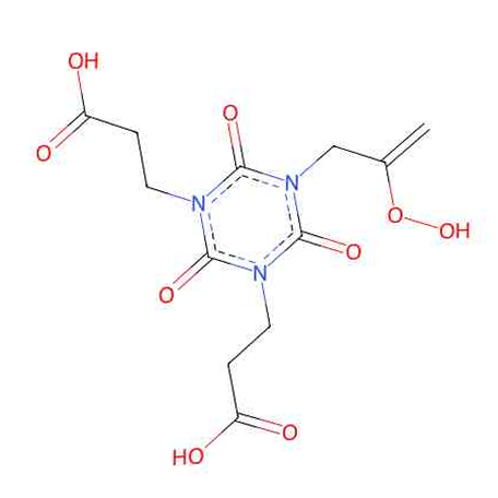 C=C(Cn1c(=O)n(CCC(=O)O)c(=O)n(CCC(=O)O)c1=O)OO